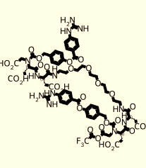 N=C(N)Nc1ccc(C(=O)Oc2ccc(COC(=O)N(CC(=O)O)[C@@H](CC(=O)O)C(=O)N[C@@H](CC(=O)O)C(=O)NCCOCCOCCOCCOCCNC(=O)[C@H](CC(=O)O)NC(=O)[C@H](CC(=O)O)N(CC(=O)OC(=O)C(F)(F)F)C(=O)OCc3ccc(OC(=O)c4ccc(NC(=N)N)cc4)cc3)cc2)cc1